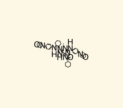 O=C(Nc1nc(Nc2ccc(N3CCOCC3)cc2)nc2c1ncn2C1[CH]CCCC1Nc1ccc(N2CCOCC2)cc1)C1CCCCC1